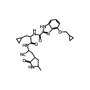 CC1CC(CC(C#N)NC(=O)C(CC2CC2)NC(=O)c2nc3c(OCC4CC4)cccc3[nH]2)C(=O)N1